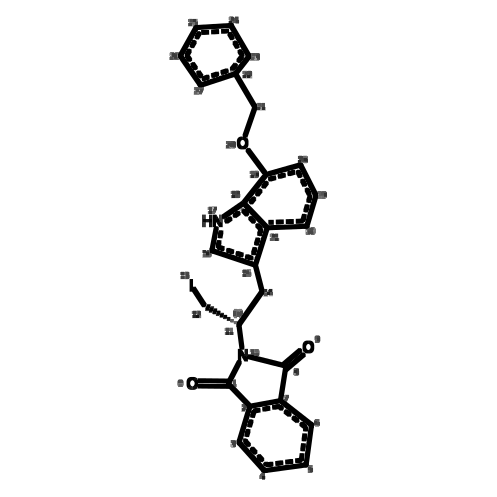 O=C1c2ccccc2C(=O)N1[C@H](CI)Cc1c[nH]c2c(OCc3ccccc3)cccc12